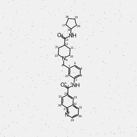 O=C(Nc1cccc(CN2CCC(C(=O)NC3CCCC3)CC2)c1)c1ccc2ncccc2c1